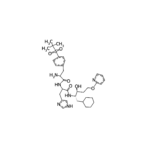 CC(C)(C)S(=O)(=O)c1ccc(CC(N)C(=O)NC(Cc2c[nH]cn2)C(=O)N[C@@H](CC2CCCCC2)[C@@H](O)CCOc2ccccn2)cc1